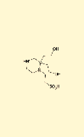 O=S(=O)(O)CCN1CCNCC1(CCO)CCO